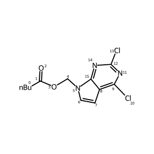 CCCCC(=O)OCn1ccc2c(Cl)nc(Cl)nc21